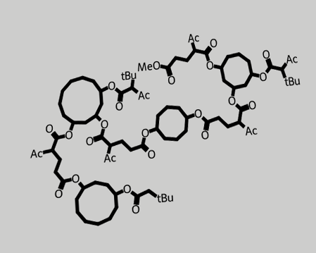 COC(=O)CCC(C(C)=O)C(=O)OC1CCCC(OC(=O)C(C(C)=O)C(C)(C)C)CC(OC(=O)C(CCC(=O)OC2CCCC(OC(=O)CCC(C(C)=O)C(=O)OC3CC(OC(=O)C(CCC(=O)OC4CCCCCCC(OC(=O)CC(C)(C)C)CC4)C(C)=O)CCCCCCC(OC(=O)C(C(C)=O)C(C)(C)C)C3)CCC2)C(C)=O)C1